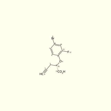 C#CC[C@H](Oc1ccc(Br)cc1F)C(=O)O